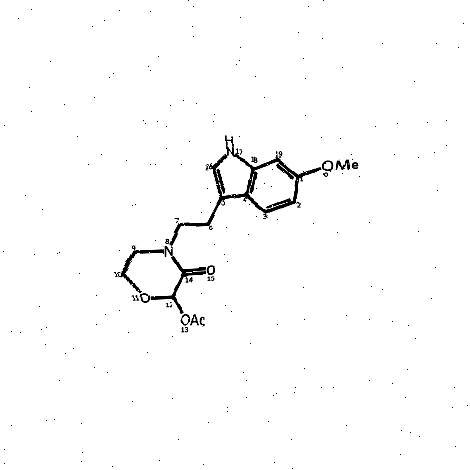 COc1ccc2c(CCN3CCOC(OC(C)=O)C3=O)c[nH]c2c1